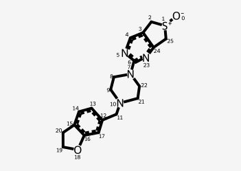 [O-][S+]1Cc2cnc(N3CCN(Cc4ccc5c(c4)OCC5)CC3)nc2C1